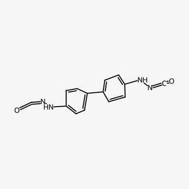 O=C=NNc1ccc(-c2ccc(NN=C=O)cc2)cc1